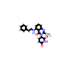 Cc1nc2cccc(NCCc3ccccc3)c2c(=O)n1C1CCC(=O)NC1=O